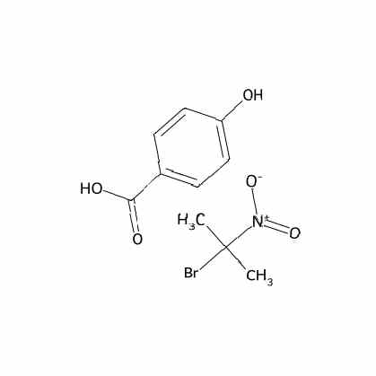 CC(C)(Br)[N+](=O)[O-].O=C(O)c1ccc(O)cc1